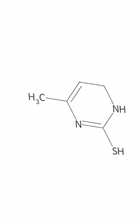 CC1=CCNC(S)=N1